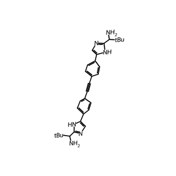 CC(C)(C)C(N)c1ncc(-c2ccc(C#Cc3ccc(-c4cnc(C(N)C(C)(C)C)[nH]4)cc3)cc2)[nH]1